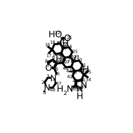 CN1CCN(Cc2occc2C2=C3[C@H]4CC(C)(C)C[C@@H](C(=O)O)[C@H]4CC[C@@]3(C)[C@]3(C)CC[C@H]4C(C)(C)c5n[nH]c(N)c5C[C@]4(C)C3C2)CC1